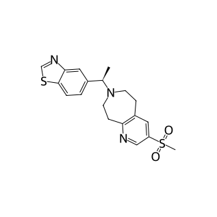 C[C@H](c1ccc2scnc2c1)N1CCc2cc(S(C)(=O)=O)cnc2CC1